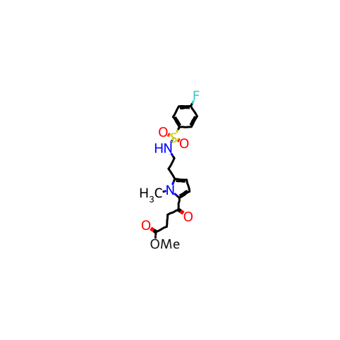 COC(=O)CCC(=O)c1ccc(CCNS(=O)(=O)c2ccc(F)cc2)n1C